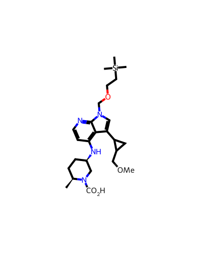 COCC1CC1c1cn(COCC[Si](C)(C)C)c2nccc(N[C@@H]3CC[C@H](C)N(C(=O)O)C3)c12